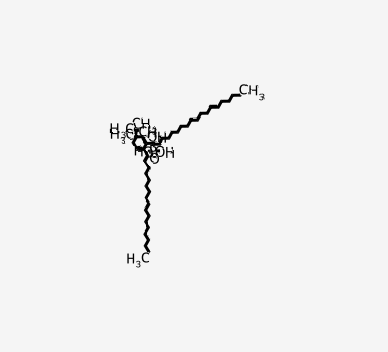 CCCCCCCCCCCCCCCCCCC1=CCC(C)(C(C)(C)C)C=C1C(O)(CCCCCCCCCCCCCCCCCC)P(=O)(O)O